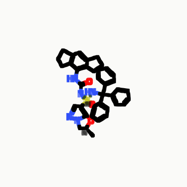 C[C@H]1Cn2ncc([S@](=O)(=NC(=O)Nc3c4c(cc5c3CCC5)CCC4)NC(c3ccccc3)(c3ccccc3)c3ccccc3)c2O1